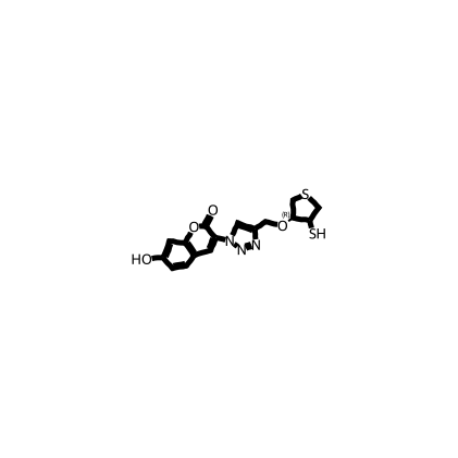 O=c1oc2cc(O)ccc2cc1-n1cc(CO[C@@H]2CSCC2S)nn1